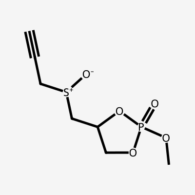 C#CC[S+]([O-])CC1COP(=O)(OC)O1